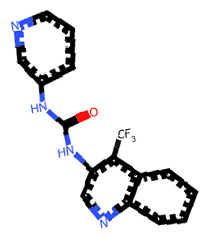 O=C(Nc1cccnc1)Nc1cnc2ccccc2c1C(F)(F)F